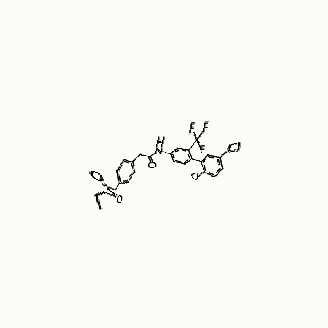 CCS(=O)(=O)c1ccc(CC(=O)Nc2ccc(-c3cc(Cl)ccc3Cl)c(C(F)(F)F)c2)cc1